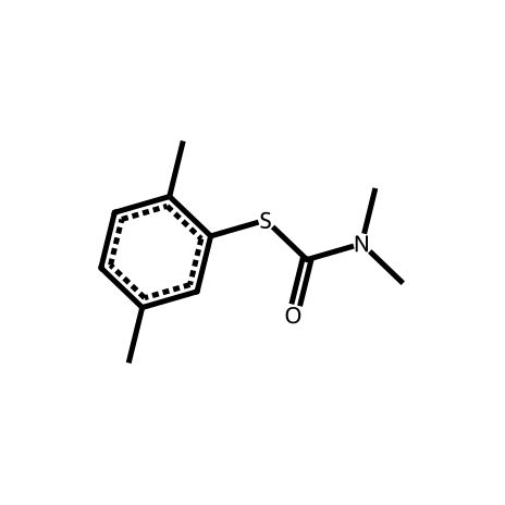 Cc1ccc(C)c(SC(=O)N(C)C)c1